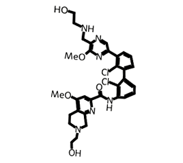 COc1cc(C(=O)Nc2cccc(-c3cccc(-c4cnc(CNCCO)c(OC)n4)c3Cl)c2Cl)nc2c1CCN(CCO)C2